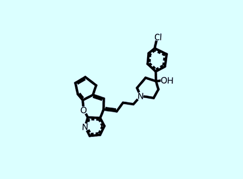 OC1(c2ccc(Cl)cc2)CCN(CCC=C2C=C3CC=CC=C3Oc3ncccc32)CC1